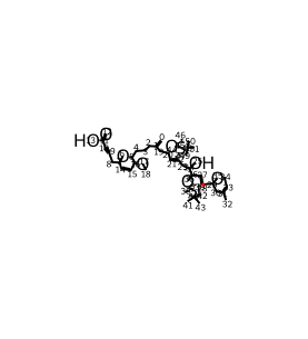 C=C(CCCC1OC(CC#CC(=O)O)C=CC1OC)CC(C=CCC(O)C(C=CC1CC(C)=CCO1)O[Si](C)(C)C(C)(C)C)O[Si](C)(C)C(C)(C)C